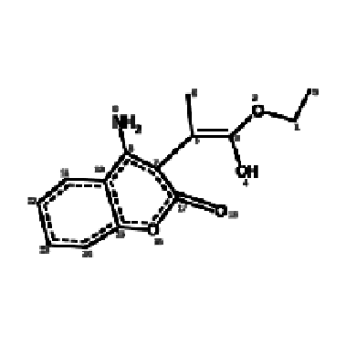 CCO/C(O)=C(\C)c1c(N)c2ccccc2oc1=O